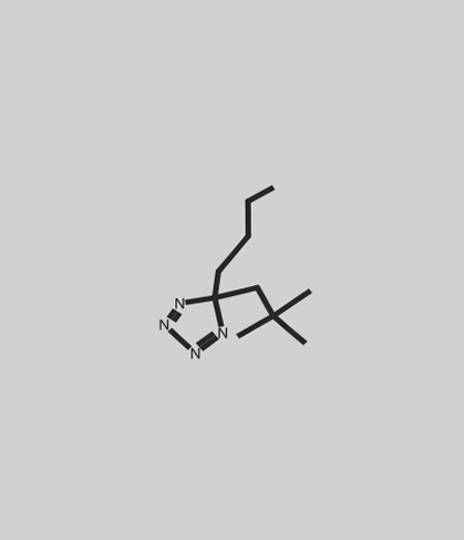 CCCCC1(CC(C)(C)C)N=NN=N1